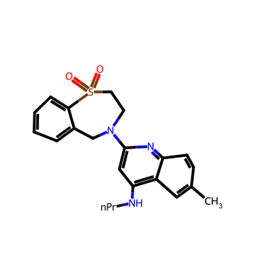 CCCNc1cc(N2CCS(=O)(=O)c3ccccc3C2)nc2ccc(C)cc12